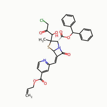 C=CCOC(=O)c1ccnc(/C=C2/C(=O)N3C2SC(C)(C(O)C(=O)CCl)[C@@H]3C(=O)OC(c2ccccc2)c2ccccc2)c1